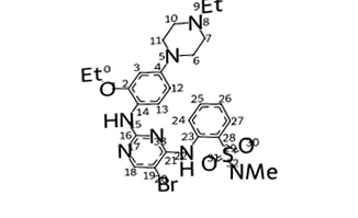 CCOc1cc(N2CCN(CC)CC2)ccc1Nc1ncc(Br)c(Nc2ccccc2S(=O)(=O)NC)n1